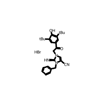 Br.CC(C)(C)c1cc(C(=O)Cn2cc(C#N)n(Cc3ccccc3)c2=N)cc(C(C)(C)C)c1O